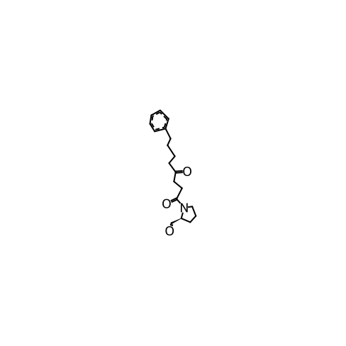 O=C[C@@H]1CCCN1C(=O)CCC(=O)CCCCc1ccccc1